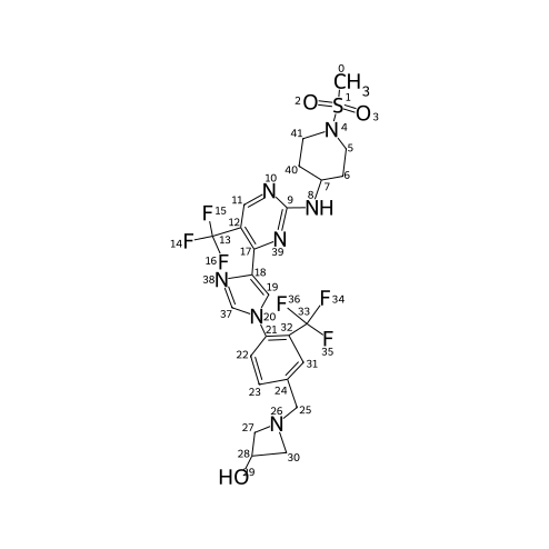 CS(=O)(=O)N1CCC(Nc2ncc(C(F)(F)F)c(-c3cn(-c4ccc(CN5CC(O)C5)cc4C(F)(F)F)cn3)n2)CC1